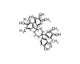 Cc1cc(C2(c3ccc(O)c(S)c3)CCCC(c3cc(C)c(O)c(C)c3)(c3cc(C)c(O)c(S)c3)CC2)cc(C)c1O